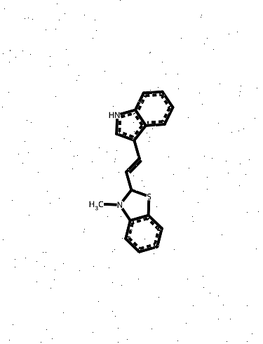 CN1c2ccccc2SC1C=Cc1c[nH]c2ccccc12